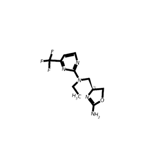 CCN(C[C@H]1COC(N)=N1)c1nccc(C(F)(F)F)n1